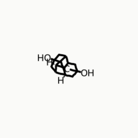 OC12CC3C4CC5(O)C[C@H]3C(C1)[C@H](C5)C4C2